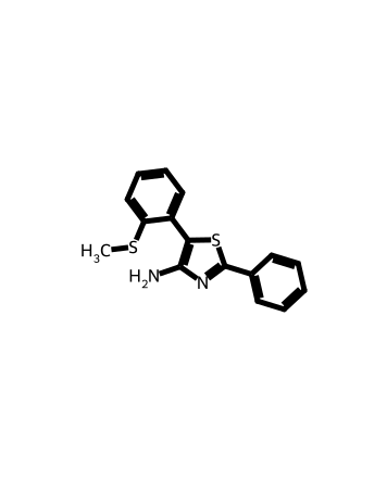 CSc1ccccc1-c1sc(-c2ccccc2)nc1N